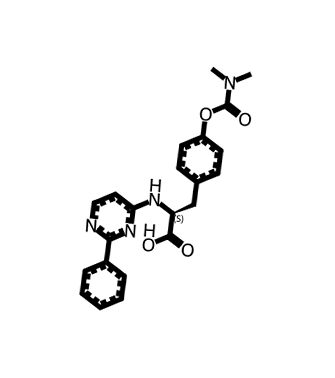 CN(C)C(=O)Oc1ccc(C[C@H](Nc2ccnc(-c3ccccc3)n2)C(=O)O)cc1